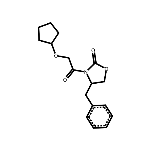 O=C(COC1CCCC1)N1C(=O)OCC1Cc1ccccc1